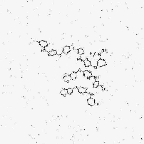 CN(C)c1cccc(Oc2cnc(Nc3cccc(F)c3)nc2)c1.COc1cccc(Nc2ncc(Oc3ccc4c(c3)OCCO4)cn2)c1.Fc1ccc(Oc2cnc(Nc3cccc(F)c3)nc2)cc1.Fc1cccc(Nc2ncc(Oc3ccc4c(c3)OCCO4)cn2)c1